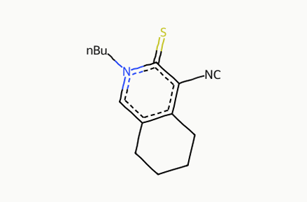 [C-]#[N+]c1c2c(cn(CCCC)c1=S)CCCC2